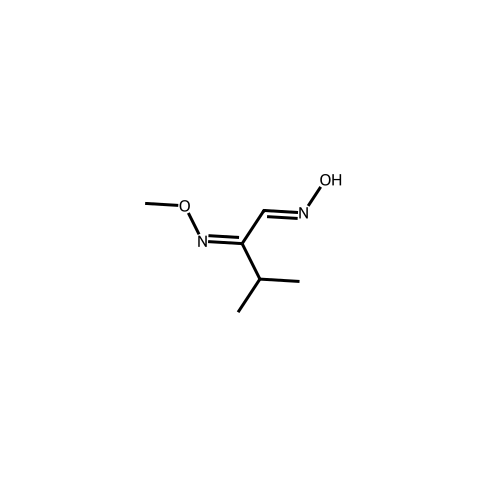 CON=C(C=NO)C(C)C